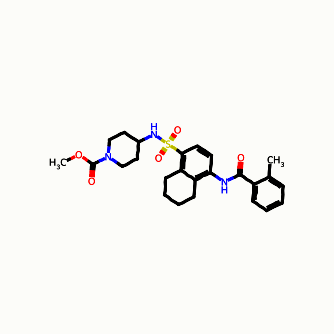 COC(=O)N1CCC(NS(=O)(=O)c2ccc(NC(=O)c3ccccc3C)c3c2CCCC3)CC1